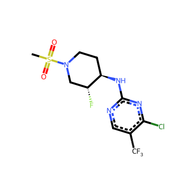 CS(=O)(=O)N1CC[C@@H](Nc2ncc(C(F)(F)F)c(Cl)n2)[C@H](F)C1